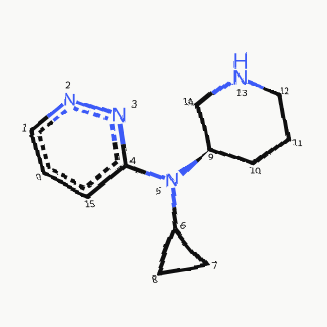 c1cnnc(N(C2CC2)[C@@H]2CCCNC2)c1